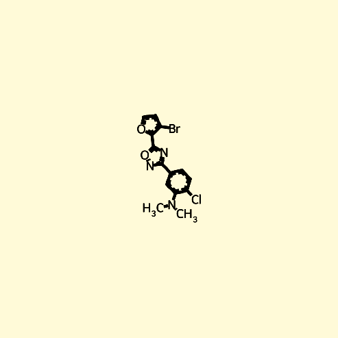 CN(C)c1cc(-c2noc(-c3occc3Br)n2)ccc1Cl